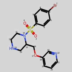 O=S(=O)(c1ccc(Br)cc1)N1CCNCC1COc1cccnc1